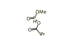 CO[PH](=O)OC(=O)C(C)C